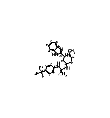 C=C(Nc1ccc(C(F)(F)F)cc1)NC1CCN(C)C(c2nc3ccccc3[nH]2)C1